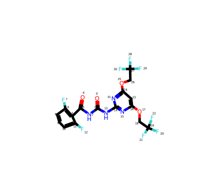 O=C(NC(=O)c1c(F)cccc1F)Nc1nc(OCC(F)(F)F)cc(OCC(F)(F)F)n1